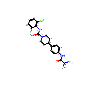 CC(C)C(N)C(=O)Nc1ccc(C2CCN(C(=O)Nc3c(Cl)cccc3Cl)CC2)cc1